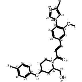 COc1cc(C=CC(=O)N2CCC(Oc3ccc(F)cc3)CC2CO)ccc1-n1cnc(C)c1